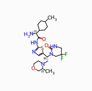 CC1CCC([C@H](N)C(=O)Nc2ncc([C@@H](CN3CCOC[C@@H]3C)N3CC(F)(F)CNC3=O)s2)CC1